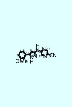 COc1ccccc1-c1cc(Nc2cnc(C#N)cn2)n[nH]1